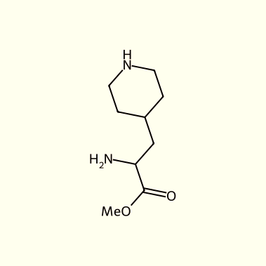 COC(=O)C(N)CC1CCNCC1